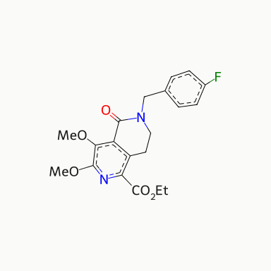 CCOC(=O)c1nc(OC)c(OC)c2c1CCN(Cc1ccc(F)cc1)C2=O